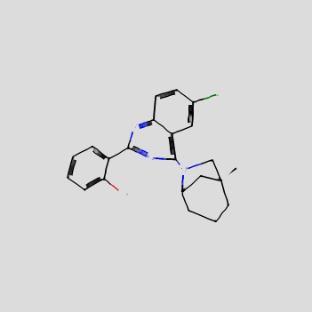 Oc1ccccc1-c1nc(N2C[C@@H]3CCCC2C3)c2cc(F)ccc2n1